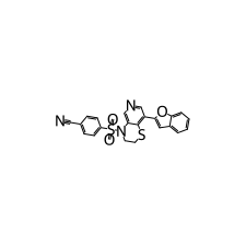 N#Cc1ccc(S(=O)(=O)N2CCSc3c(-c4cc5ccccc5o4)cncc32)cc1